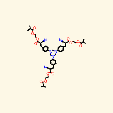 C=C(C)C(=O)OCCOC(=O)/C(C#N)=C/c1ccc(N2CN(c3ccc(/C=C(\C#N)C(=O)OCCOC(=O)C(=C)C)cc3)CN(c3ccc(/C=C(\C#N)C(=O)OCCOC(=O)C(=C)C)cc3)C2)cc1